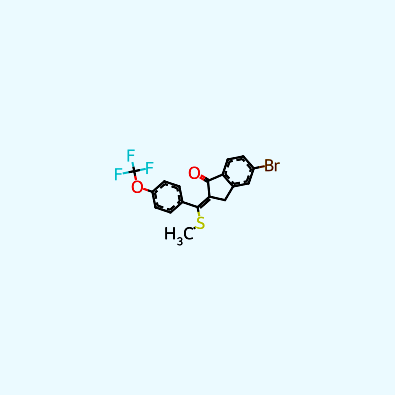 CSC(=C1Cc2cc(Br)ccc2C1=O)c1ccc(OC(F)(F)F)cc1